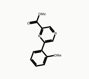 COC(=O)c1cncc(-c2ccccc2OC)n1